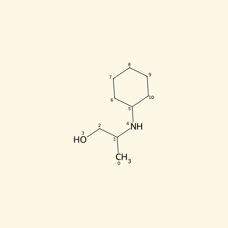 CC(CO)NC1CCCCC1